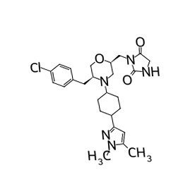 Cc1cc(C2CCC(N3C[C@H](CN4C(=O)CNC4=O)OC[C@@H]3Cc3ccc(Cl)cc3)CC2)nn1C